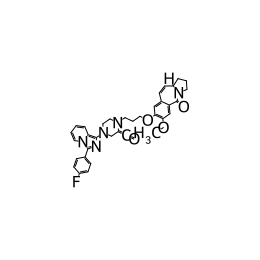 COc1cc2c(cc1OCCCN1CCN(c3nc(-c4ccc(F)cc4)n4ccccc34)CC1=C=O)C=C[C@@H]1CCCN1C2=O